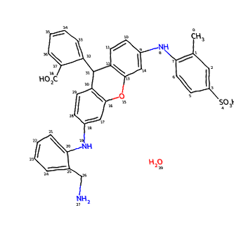 Cc1cc(S(=O)(=O)O)ccc1Nc1ccc2c(c1)Oc1cc(Nc3ccccc3CN)ccc1C2c1ccccc1C(=O)O.O